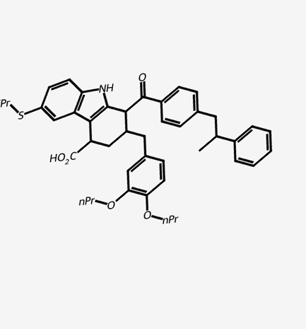 CCCOc1ccc(CC2CC(C(=O)O)c3c([nH]c4ccc(SC(C)C)cc34)C2C(=O)c2ccc(CC(C)c3ccccc3)cc2)cc1OCCC